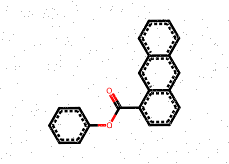 O=C(Oc1ccccc1)c1cccc2cc3ccccc3cc12